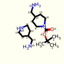 CC(C)(C)OC(=O)N1CCC(CN)CC1.NCC1CCNCC1